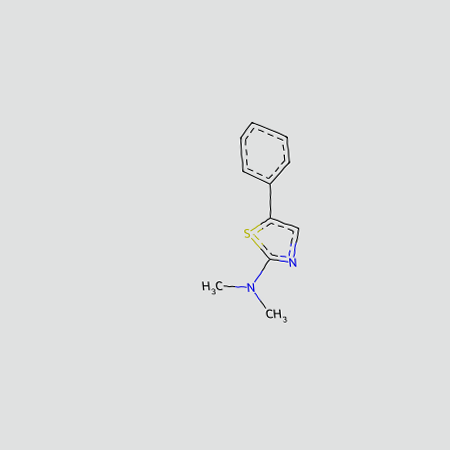 CN(C)c1ncc(-c2ccccc2)s1